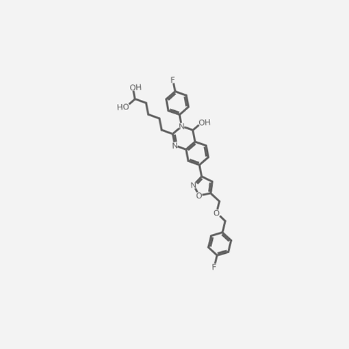 OC(O)CCCCC1=Nc2cc(-c3cc(COCc4ccc(F)cc4)on3)ccc2C(O)N1c1ccc(F)cc1